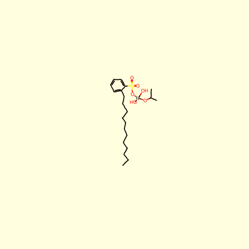 CCCCCCCCCCCCc1ccccc1S(=O)(=O)[O][Ti]([OH])([OH])[O]C(C)C